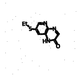 CCSc1cnc2ncc(=O)[nH]c2c1